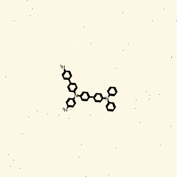 [3H]c1ccc(-c2ccc(N(c3ccc([3H])cc3)c3ccc(-c4ccc(N(c5ccccc5)c5ccccc5)cc4)cc3)cc2)cc1